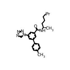 Cc1ccc(-c2cc(C(=O)N[C@H](C)CCCC(C)C)cc(-n3cnnn3)c2)cc1